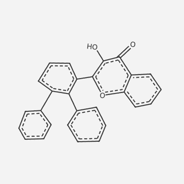 O=c1c(O)c(-c2cccc(-c3ccccc3)c2-c2ccccc2)oc2ccccc12